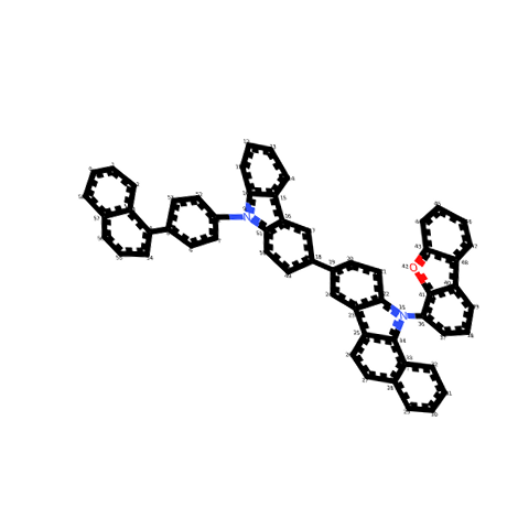 c1ccc2c(-c3ccc(-n4c5ccccc5c5cc(-c6ccc7c(c6)c6ccc8ccccc8c6n7-c6cccc7c6oc6ccccc67)ccc54)cc3)cccc2c1